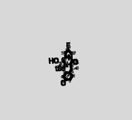 C[C@H](C1CCC(=O)CC1)[C@@H](C(=O)N1CC[C@H](F)C1)N(C(=O)O)C(C)(C)C